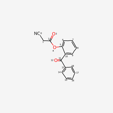 N#CCC(=O)Oc1ccccc1C(=O)c1ccccc1